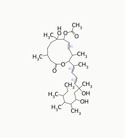 CCC(C)C(C)C(C)C(O)CC(C)(O)/C=C/C=C(\C)C1OC(=O)CC(C)CCC(C)(O)C(OC(C)=O)/C=C/C1C